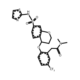 CN(C)C(=O)Cc1cc(C(F)(F)F)ccc1OC1CCOc2cc(S(=O)(=O)Nc3nccs3)ccc21